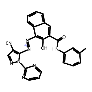 [C-]#[N+]c1cnn(-c2ncccn2)c1/N=N/c1c(O)c(C(=O)Nc2cccc(C)c2)cc2ccccc12